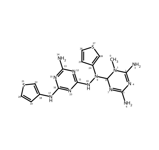 CN1C(N)=NC(N)=NC1N(Nc1nc(N)nc(Nc2ccsc2)n1)c1ccsc1